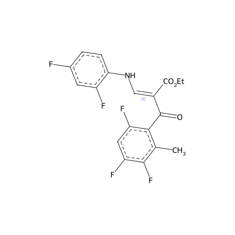 CCOC(=O)/C(=C\Nc1ccc(F)cc1F)C(=O)c1c(F)cc(F)c(F)c1C